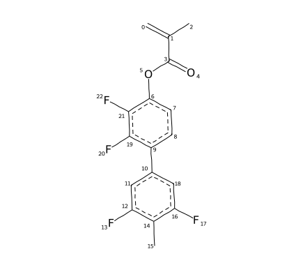 C=C(C)C(=O)Oc1ccc(-c2cc(F)c(C)c(F)c2)c(F)c1F